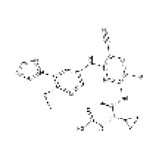 COc1ncc(Nc2nc(N[C@H](C)[C@@H](NC(=O)O)C3CC3)c(F)cc2C#N)cc1-n1nccn1